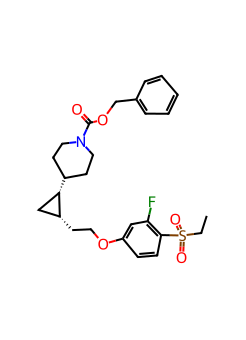 CCS(=O)(=O)c1ccc(OCC[C@@H]2C[C@@H]2C2CCN(C(=O)OCc3ccccc3)CC2)cc1F